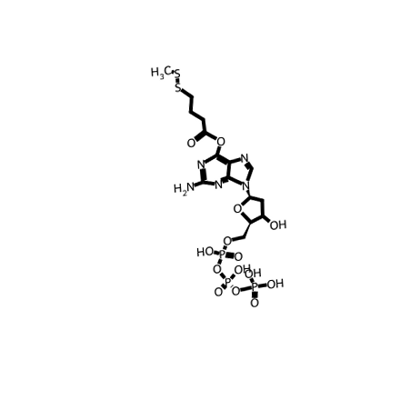 CSSCCCC(=O)Oc1nc(N)nc2c1ncn2[C@H]1CC(O)[C@@H](COP(=O)(O)OP(=O)(O)OP(=O)(O)O)O1